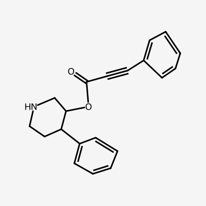 O=C(C#Cc1ccccc1)OC1CNCCC1c1ccccc1